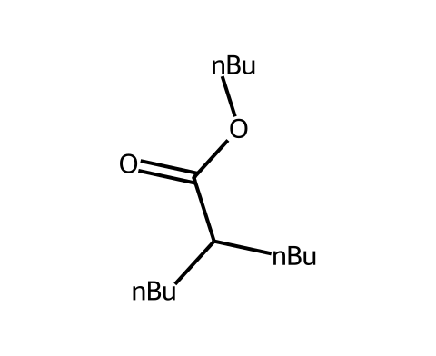 CCCCOC(=O)C(CCCC)CCCC